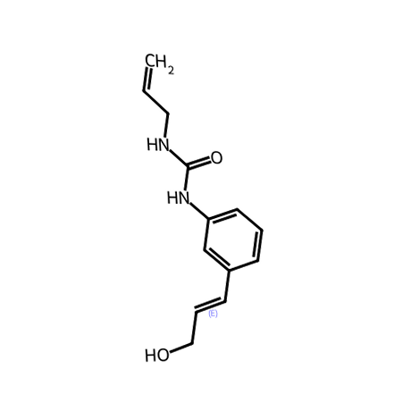 C=CCNC(=O)Nc1cccc(/C=C/CO)c1